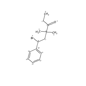 CCC(=O)C(C)(C)CC(Br)c1ccccc1